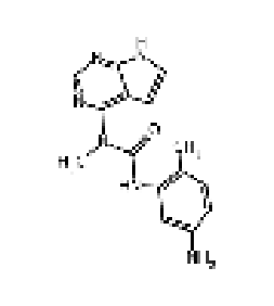 Cc1ccc(N)cc1NC(=O)N(C)c1ncnc2[nH]ccc12